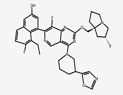 CCc1c(F)ccc2cc(O)cc(-c3ncc4c(N5CCCC(c6cnco6)C5)nc(OC[C@@]56CCCN5C[C@H](F)C6)nc4c3F)c12